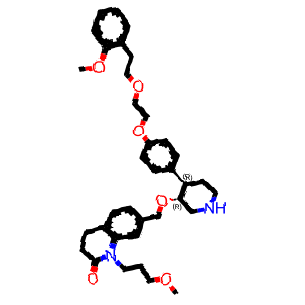 COCCCN1C(=O)CCc2ccc(CO[C@H]3CNCC[C@@H]3c3ccc(OCCOCCc4ccccc4OC)cc3)cc21